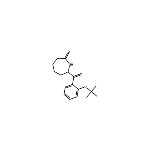 CC(C)(C)Oc1ccccc1C(=O)C1CCCCC(=O)N1